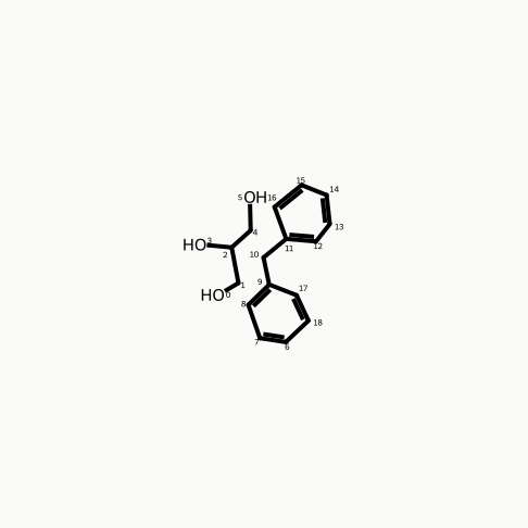 OCC(O)CO.c1ccc(Cc2ccccc2)cc1